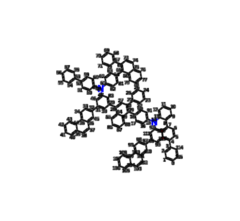 c1ccc(-c2ccc(-c3ccccc3N(c3ccc(-c4c(-c5ccccc5)cc(-c5cc(-c6ccc7c(ccc8ccccc87)c6)cc(N(c6ccc(-c7ccccc7)cc6)c6ccc(-c7c(-c8ccccc8)ccc8ccccc78)cc6)c5)c5ccccc45)cc3)c3cccc(-c4ccc5c(ccc6ccccc65)c4)c3)cc2)cc1